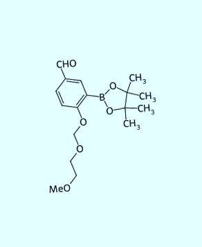 COCCOCOc1ccc(C=O)cc1B1OC(C)(C)C(C)(C)O1